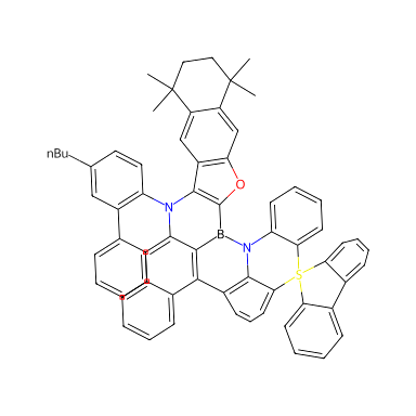 CCCCc1ccc(N2c3cc4ccccc4c4c3B(c3oc5cc6c(cc5c32)C(C)(C)CCC6(C)C)N2c3ccccc3S3(c5ccccc5-c5ccccc53)c3cccc-4c32)c(-c2ccccc2)c1